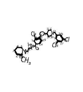 C[C@@H]1CCCCN1CCCNC(=O)c1ccc(OC2CCN(Cc3cc(Cl)cc(Cl)c3)CC2)c(Cl)c1